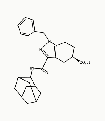 CCOC(=O)[C@@H]1CCc2c(c(C(=O)NC3C4CC5CC(C4)CC3C5)nn2Cc2ccccc2)C1